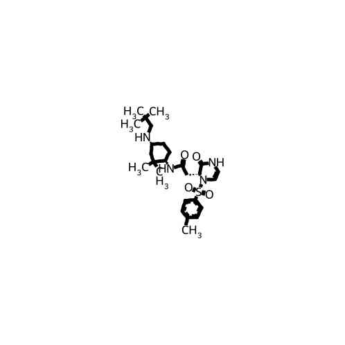 Cc1ccc(S(=O)(=O)N2C=CNC(=O)[C@H]2CC(=O)N[C@@H]2CC[C@@H](NCC(C)(C)C)CC2(C)C)cc1